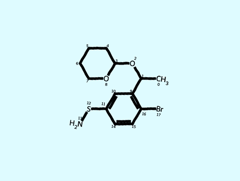 CC(OC1CCCCO1)c1cc(SN)ccc1Br